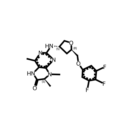 Cc1nc(N[C@@H]2CO[C@@H](COc3cc(F)c(F)c(F)c3)C2)nc2c1NC(=O)[C@H](C)N2C